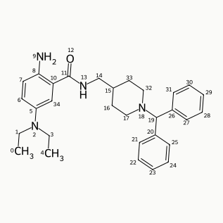 CCN(CC)c1ccc(N)c(C(=O)NCC2CCN(C(c3ccccc3)c3ccccc3)CC2)c1